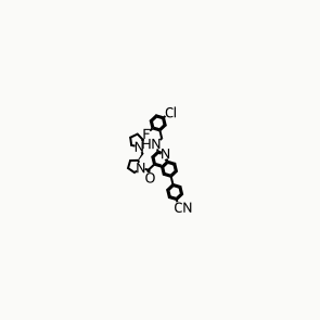 N#Cc1ccc(-c2ccc3nc(NCc4cc(Cl)ccc4F)cc(C(=O)N4CCC[C@H]4CN4CCCC4)c3c2)cc1